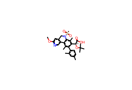 COc1cc2c(cn1)-c1c(C)c(-c3ccc(C)cc3C)c([C@H](OC(C)(C)C)C(=O)O)c(C)c1N(S(C)(=O)=O)C2